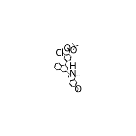 COc1cccc([C@@H](C)NC(C)c2cc(-c3ccc(C(=O)OC(C)C)c(Cl)c3)c3ccccc3c2)c1